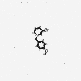 COc1ccc(CN2C=C(Br)C=CC2)cc1